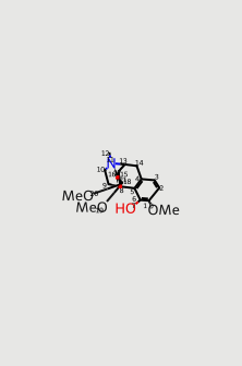 COc1ccc2c(c1O)[C@@]13CCN(C)C(C2)C1CCC(OC)(OC)C3